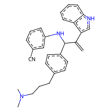 C=C(c1c[nH]c2ccccc12)C(Nc1cccc(C#N)c1)c1ccc(CCCN(C)C)cc1